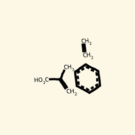 C=C.C=C(C)C(=O)O.c1ccccc1